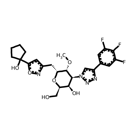 CO[C@@H]1[C@@H](n2cc(-c3cc(F)c(F)c(F)c3)nn2)[C@@H](O)[C@@H](CO)O[C@@H]1Cc1cc(C2(O)CCCC2)on1